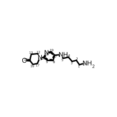 NCCCCCNc1ccc(N2CCC(=O)CC2)nc1